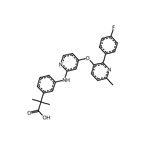 Cc1ccc(Oc2ccnc(Nc3cccc(C(C)(C)C(=O)O)c3)c2)c(-c2ccc(F)cc2)n1